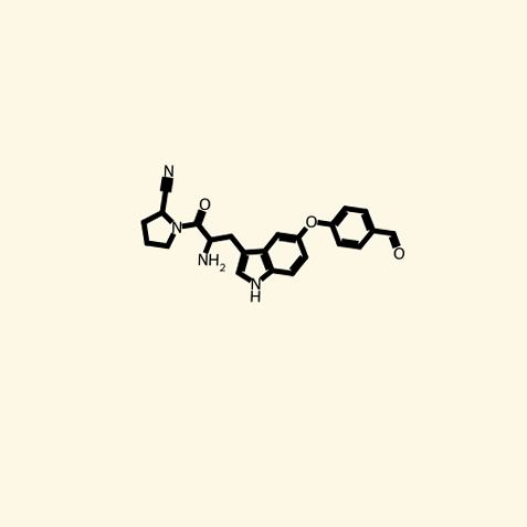 N#CC1CCCN1C(=O)C(N)Cc1c[nH]c2ccc(Oc3ccc(C=O)cc3)cc12